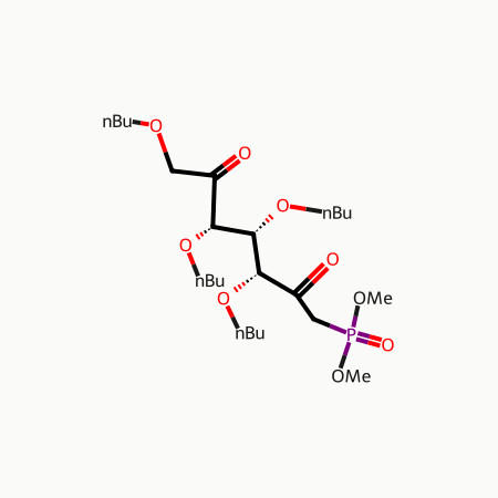 CCCCOCC(=O)[C@@H](OCCCC)[C@H](OCCCC)[C@@H](OCCCC)C(=O)CP(=O)(OC)OC